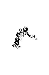 COc1cc2c(cc1OC)C(=O)N(c1ccc(C(=O)Nc3cnccc3N(C)CCN)o1)C2